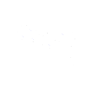 c1ccc2c(c1)ccc1c3cccnc3c(-c3ccc(-c4cn5cccnc5n4)cn3)cc21